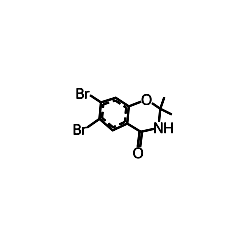 CC1(C)NC(=O)c2cc(Br)c(Br)cc2O1